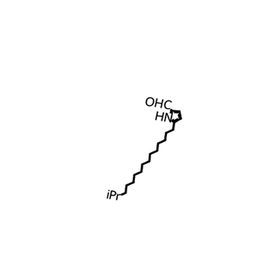 CC(C)CCCCCCCCCCCCCc1ccc(C=O)[nH]1